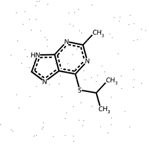 Cc1nc(SC(C)C)c2nc[nH]c2n1